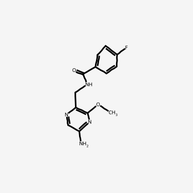 COc1nc(N)cnc1CNC(=O)c1ccc(F)cc1